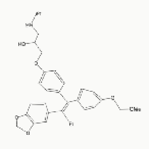 CCC(=C(c1ccc(OCOC)cc1)c1ccc(OCC(O)CNC(C)C)cc1)c1ccc2c(c1)OCO2